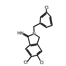 N=C1c2cc(Cl)c(Cl)cc2CN1Cc1cccc(Cl)c1